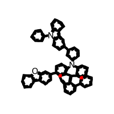 C1=c2cccc(-c3ccccc3)c2=C(c2ccccc2N(c2ccc(-c3ccc4c(c3)oc3ccccc34)cc2)c2cccc(-c3ccc4c(c3)c3ccccc3n4-c3ccccc3)c2)CC1